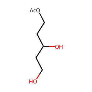 CC(=O)OCCC(O)CCO